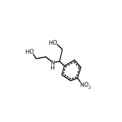 O=[N+]([O-])c1ccc(C(CO)NCCO)cc1